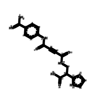 N=C(N)c1ccc(NC(=O)C#CC(=O)NCC(C(=O)O)c2ncc[nH]2)cc1